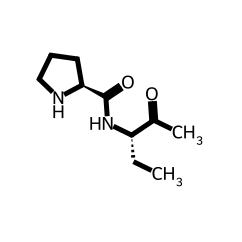 CC[C@H](NC(=O)[C@@H]1CCCN1)C(C)=O